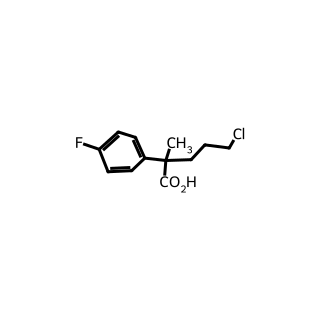 CC(CCCCl)(C(=O)O)c1ccc(F)cc1